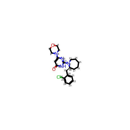 O=c1cc(N2CCOCC2)nc(N2CCCCC[C@H]2Cc2ccccc2Cl)[nH]1